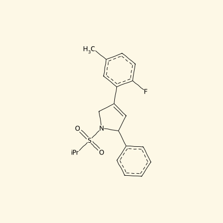 Cc1ccc(F)c(C2=CC(c3ccccc3)N(S(=O)(=O)C(C)C)C2)c1